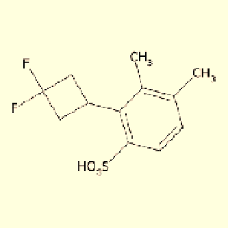 Cc1ccc(S(=O)(=O)O)c(C2CC(F)(F)C2)c1C